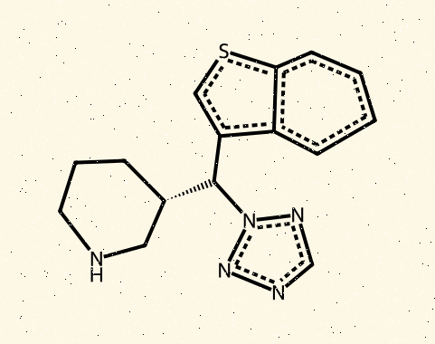 c1ccc2c(C([C@H]3CCCNC3)n3ncnn3)csc2c1